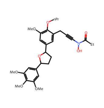 CCCOc1c(CC#CN(O)C(=O)CC)cc(C2CCC(c3cc(OC)c(OC)c(OC)c3)O2)cc1OC